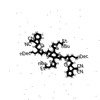 CCCCCCCCCCCCc1cc(-c2cc3c(-c4ccc(CC(CC)CCCC)s4)c4sc(-c5cc(CCCCCCCCCCCC)c(/C=C6\C(=O)c7ccccc7C6=C(C#N)C#N)s5)cc4c(-c4ccc(CC(CC)CCCC)s4)c3s2)sc1/C=C1\C(=O)c2ccccc2C1=C(C#N)C#N